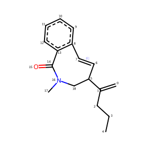 C=C(CCC)C1/C=C/c2ccccc2C(=O)N(C)C1